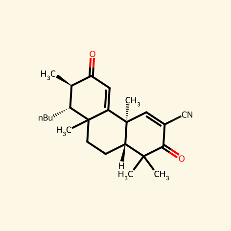 CCCC[C@@H]1[C@@H](C)C(=O)C=C2C1(C)CC[C@H]1C(C)(C)C(=O)C(C#N)=C[C@]21C